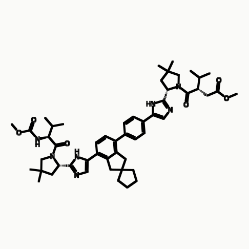 COC(=O)C[C@H](C(=O)N1CC(C)(C)C[C@H]1c1ncc(-c2ccc(-c3ccc(-c4cnc([C@@H]5CC(C)(C)CN5C(=O)[C@@H](NC(=O)OC)C(C)C)[nH]4)c4c3CC3(CCCC3)C4)cc2)[nH]1)C(C)C